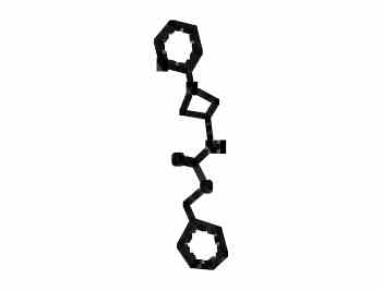 O=C(NC1CN(c2ccccn2)C1)OCc1ccccc1